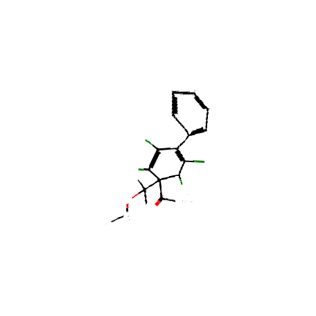 COC(=O)C1(C(C)(C)O[SiH2]C(C)(C)C)C(F)=C(F)C(c2ccccc2)=C(F)C1F